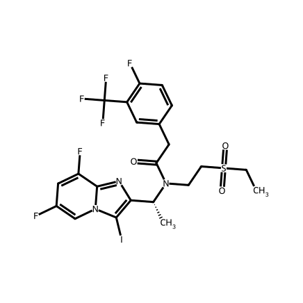 CCS(=O)(=O)CCN(C(=O)Cc1ccc(F)c(C(F)(F)F)c1)[C@H](C)c1nc2c(F)cc(F)cn2c1I